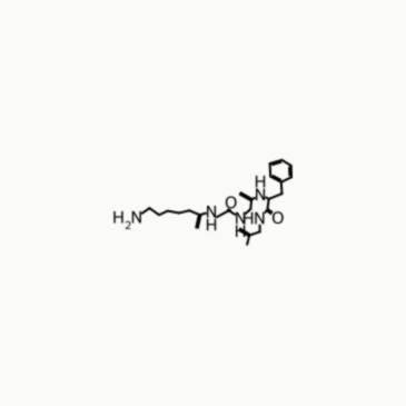 C=C(C)CNC(=O)C(Cc1ccccc1)NC(=C)CNC(=O)CNC(=C)CCCCCN